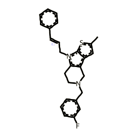 Cc1cc2c3c(n(C/C=C/c4ccccc4)c2s1)CCN(Cc1cccc(F)c1)C3